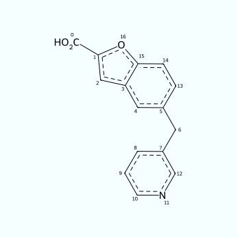 O=C(O)c1cc2cc(Cc3cccnc3)ccc2o1